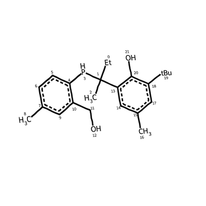 CCC(C)(Pc1ccc(C)cc1CO)c1cc(C)cc(C(C)(C)C)c1O